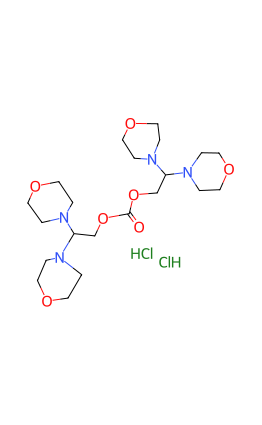 Cl.Cl.O=C(OCC(N1CCOCC1)N1CCOCC1)OCC(N1CCOCC1)N1CCOCC1